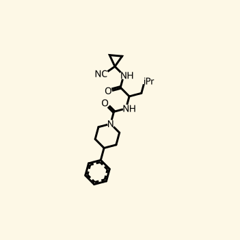 CC(C)CC(NC(=O)N1CCC(c2ccccc2)CC1)C(=O)NC1(C#N)CC1